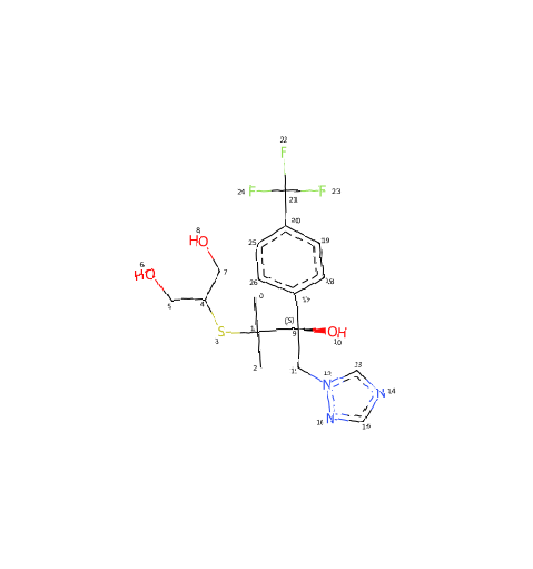 CC(C)(SC(CO)CO)[C@@](O)(Cn1cncn1)c1ccc(C(F)(F)F)cc1